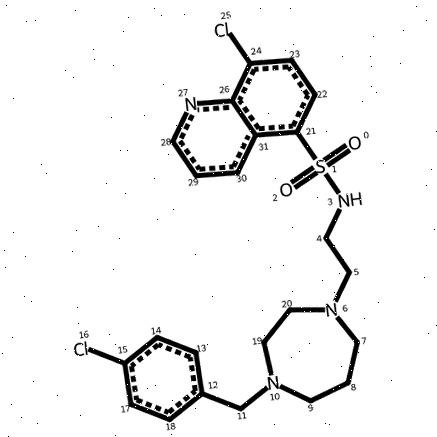 O=S(=O)(NCCN1CCCN(Cc2ccc(Cl)cc2)CC1)c1ccc(Cl)c2ncccc12